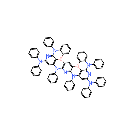 c1ccc(N(c2ccccc2)c2cc3c4c(n2)N(c2ccccc2)c2ccccc2B4c2cc4c(nc2N3c2ccccc2)N(c2ccccc2)c2cc(N(c3ccccc3)c3ccccc3)nc3c2B4c2ccccc2N3c2ccccc2)cc1